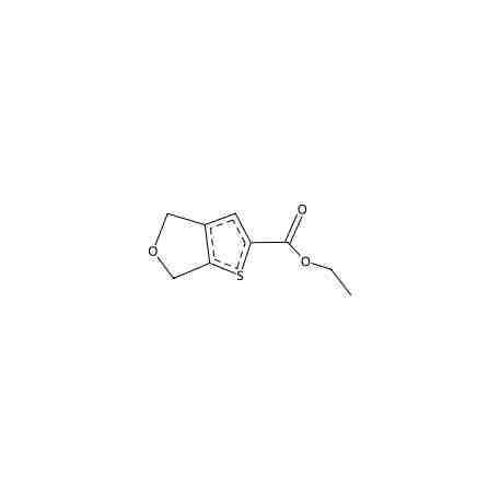 CCOC(=O)c1cc2c(s1)COC2